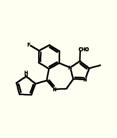 Cc1nc2n(c1C=O)-c1ccc(F)cc1C(c1ccc[nH]1)=NC2